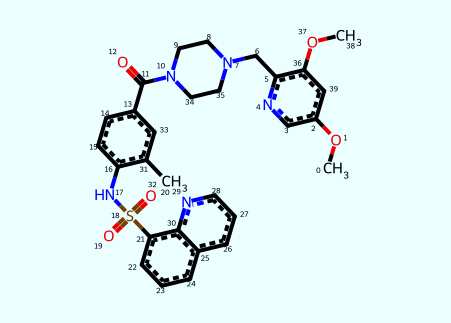 COc1cnc(CN2CCN(C(=O)c3ccc(NS(=O)(=O)c4cccc5cccnc45)c(C)c3)CC2)c(OC)c1